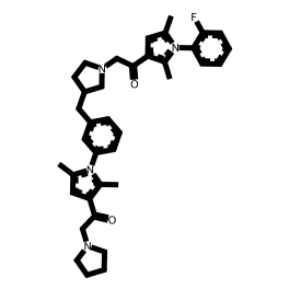 Cc1cc(C(=O)CN2CCCC2)c(C)n1-c1cccc(CC2CCN(CC(=O)c3cc(C)n(-c4ccccc4F)c3C)C2)c1